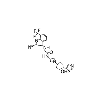 N#Cc1cc(NCC(=O)NC2CN(C3CCC(O)(c4cncs4)CC3)C2)c2cccc(C(F)(F)F)c2n1